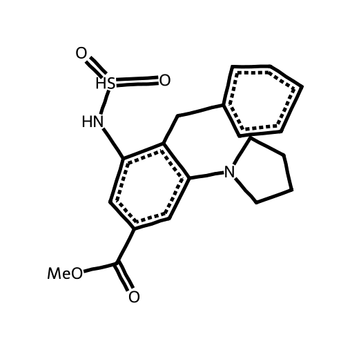 COC(=O)c1cc(N[SH](=O)=O)c(Cc2ccccc2)c(N2CCCC2)c1